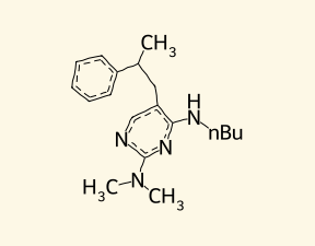 CCCCNc1nc(N(C)C)ncc1CC(C)c1ccccc1